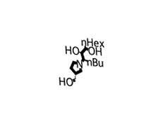 CCCCCC[C@@H](O)[C@@H](O)[C@@H](CCCC)N1CC[C@@H](CO)C1